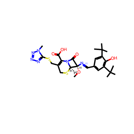 CO[C@@]1(/N=C/c2cc(C(C)(C)C)c(O)c(C(C)(C)C)c2)C(=O)N2C(C(=O)O)=C(CSc3nnnn3C)CS[C@@H]21